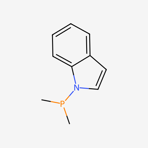 CP(C)n1ccc2ccccc21